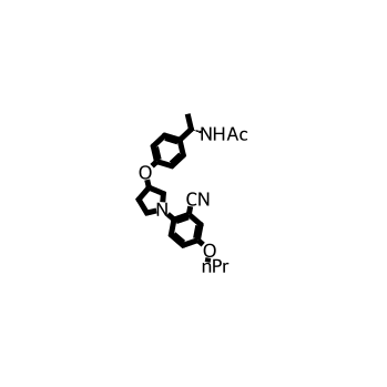 CCCOc1ccc(N2CCC(Oc3ccc([C@H](C)NC(C)=O)cc3)C2)c(C#N)c1